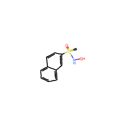 C=S(=O)(NO)c1ccc2ccccc2c1